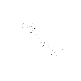 CSc1ccccc1CNC(=O)c1csc(C2CCN(C(=O)c3c(-c4ccc(Cl)cc4)noc3C)CC2)n1